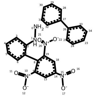 NNc1ccccc1-c1c([N+](=O)[O-])cc([N+](=O)[O-])cc1[N+](=O)[O-].c1ccc(-c2ccccc2)cc1